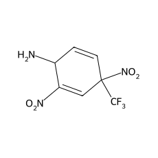 NC1C=CC([N+](=O)[O-])(C(F)(F)F)C=C1[N+](=O)[O-]